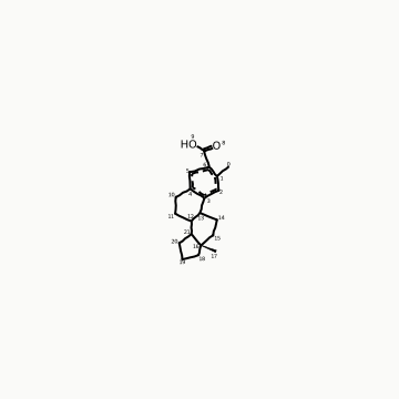 Cc1cc2c(cc1C(=O)O)CCC1C2CC[C@]2(C)CCCC12